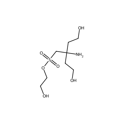 NC(CCO)(CCO)CS(=O)(=O)OCCO